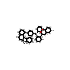 c1ccc(N(c2ccc(-c3cccc4ccc5oc6ccccc6c5c34)cc2)c2ccccc2-c2ccc3ccccc3c2)cc1